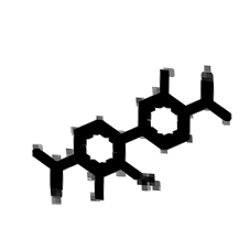 CC(=O)c1ccc(-c2ccc(C(C)=O)c(C)c2N)cc1C